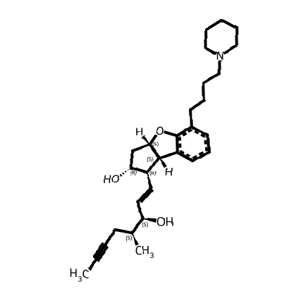 CC#CC[C@H](C)[C@H](O)C=C[C@@H]1[C@H]2c3cccc(CCCCN4CCCCC4)c3O[C@H]2C[C@H]1O